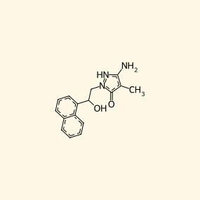 Cc1c(N)[nH]n(CC(O)c2cccc3ccccc23)c1=O